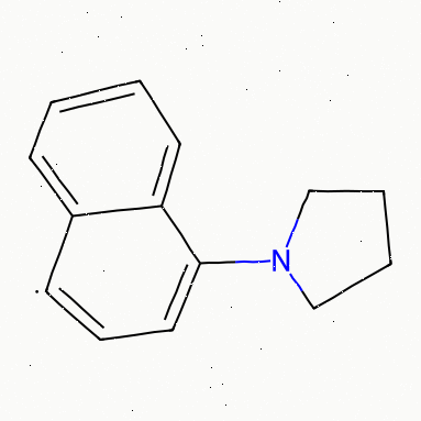 [c]1ccc(N2CCCC2)c2ccccc12